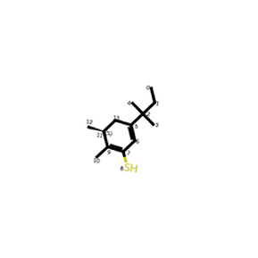 CCC(C)(C)C1=CC(S)=C(C)[C@@H](C)C1